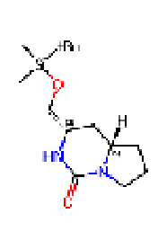 CC(C)(C)[Si](C)(C)OC[C@@H]1C[C@@H]2CCCN2C(=O)N1